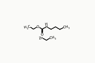 CCCCNC(=O)OCC.C[CH2][Zn]